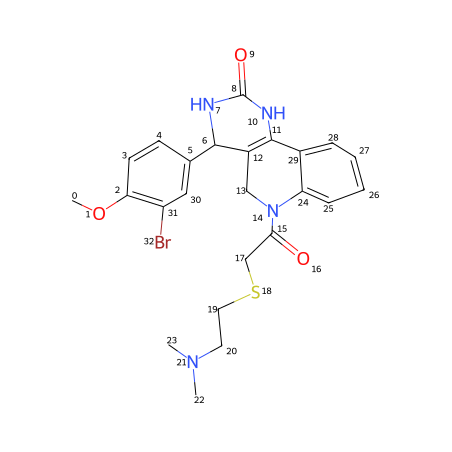 COc1ccc(C2NC(=O)NC3=C2CN(C(=O)CSCCN(C)C)c2ccccc23)cc1Br